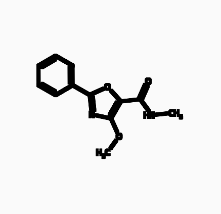 CNC(=O)c1oc(-c2ccccc2)nc1OC